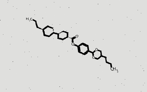 CCCCC1COC(c2ccc(OC(=O)[C@H]3CC[C@H]([C@H]4CC[C@H](CCC)CC4)CC3)cc2)OC1